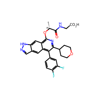 C[C@@H](Oc1nc(C2CCOCC2)c(-c2ccc(F)c(F)c2)c2cc3cn[nH]c3cc12)C(=O)NCC(=O)O